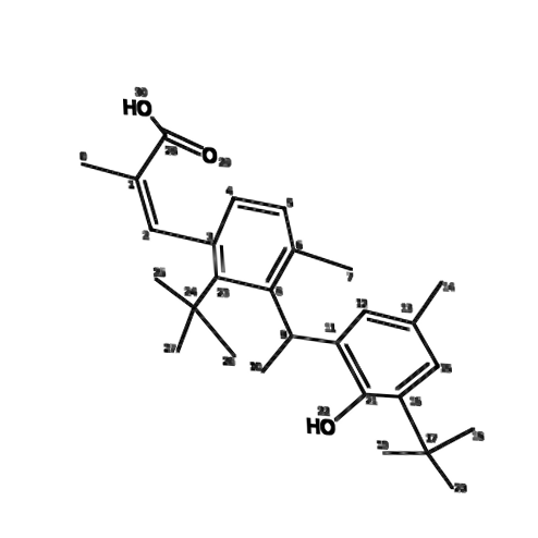 CC(=Cc1ccc(C)c(C(C)c2cc(C)cc(C(C)(C)C)c2O)c1C(C)(C)C)C(=O)O